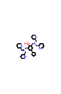 Oc1c(CN(Cc2ccccn2)Cc2ccccn2)cc(C2=C=C=C=C2)cc1CN(Cc1ccccn1)Cc1ccccn1